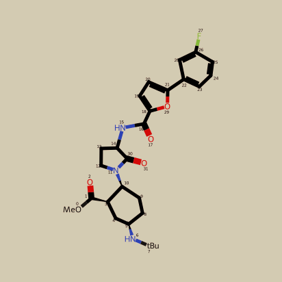 COC(=O)[C@@H]1C[C@H](NC(C)(C)C)CC[C@@H]1N1CCC(NC(=O)c2ccc(-c3cccc(F)c3)o2)C1=O